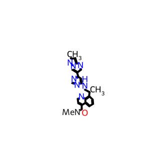 CNC(=O)c1ccnc2c(C(C)CNc3cc(-c4cnc5cc(C)nn5c4)ncn3)cccc12